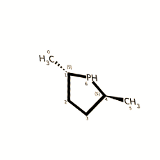 C[C@H]1CC[C@H](C)P1